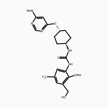 CNc1cc(O[C@H]2CC[C@H](NC(=O)Nc3cc(C(F)(F)F)cc(CO)c3OC)CC2)ncn1